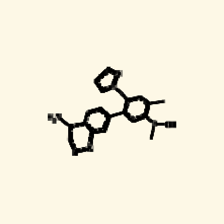 CB(O)c1cc(-c2ccc3c(N)cnnc3c2)c(-n2cccn2)cc1C